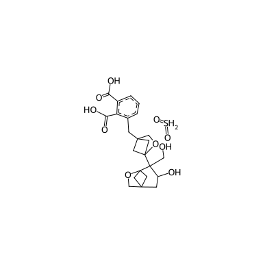 O=C(O)c1cccc(CC23COC(C4(CO)C(O)CC56COC4(C5)C6)(C2)C3)c1C(=O)O.O=[SH2]=O